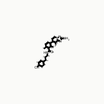 Cc1ccc(-c2ccn3nc(N)nc3c2F)c(F)c1C(=O)NCCCc1ccc(Cl)cc1